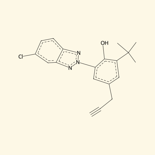 C#CCc1cc(-n2nc3ccc(Cl)cc3n2)c(O)c(C(C)(C)C)c1